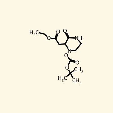 CCOC(=O)CC1C(=O)NCCN1OC(=O)OC(C)(C)C